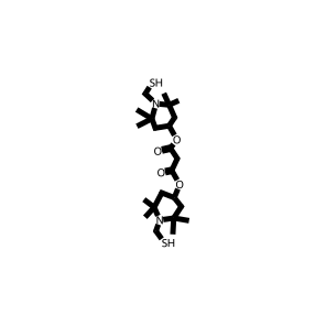 CC1(C)CC(OC(=O)CC(=O)OC2CC(C)(C)N(CS)C(C)(C)C2)CC(C)(C)N1CS